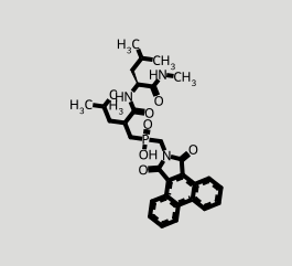 CNC(=O)[C@H](CC(C)C)NC(=O)C(CC(C)C)CP(=O)(O)CN1C(=O)c2c(c3ccccc3c3ccccc23)C1=O